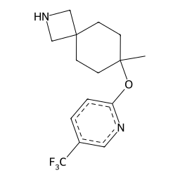 CC1(Oc2ccc(C(F)(F)F)cn2)CCC2(CC1)CNC2